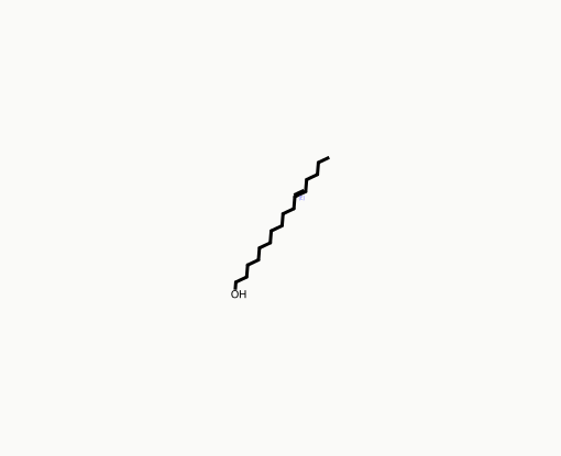 CCCC/C=C/CCCCCCCCCCO